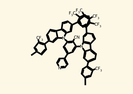 Cc1ccc(-c2ccc3c4ccc(-c5ccc(C(F)(F)F)cc5C(F)(F)F)cc4n(-c4cc(-c5ccncc5)cc(-n5c6cc(-c7ccc(C)cc7C(F)(F)F)ccc6c6ccc(-c7ccc(C(F)(F)F)cc7C(F)(F)F)cc65)c4C#N)c3c2)c(C(F)(F)F)c1